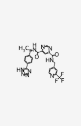 C[C@H](NC(=O)c1cc(C(=O)NCc2ccnc(C(F)(F)F)c2)ncn1)c1ccc(-c2nnn[nH]2)cc1